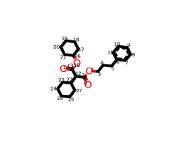 O=C(OCCCc1ccccc1)C(C(=O)OC1CCCCC1)C1CCCCC1